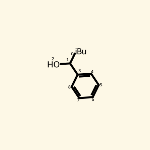 CCC(C)[C](O)c1ccccc1